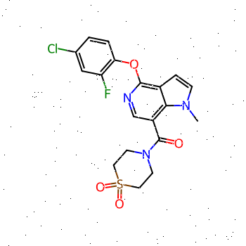 Cn1ccc2c(Oc3ccc(Cl)cc3F)ncc(C(=O)N3CCS(=O)(=O)CC3)c21